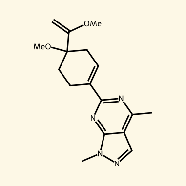 C=C(OC)C1(OC)CC=C(c2nc(C)c3cnn(C)c3n2)CC1